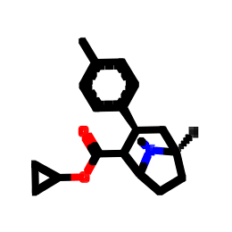 Cc1ccc([C@H]2C[C@H]3CCC(C2C(=O)OC2CC2)N3C)cc1